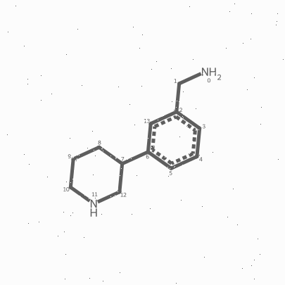 NCc1cccc(C2CCCNC2)c1